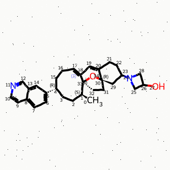 C[C@H]1CC[C@H](c2ccc3ccncc3c2)CC/C=C2/C=C3CCC(N4CC(O)C4)C[C@]34CC[C@@]21O4